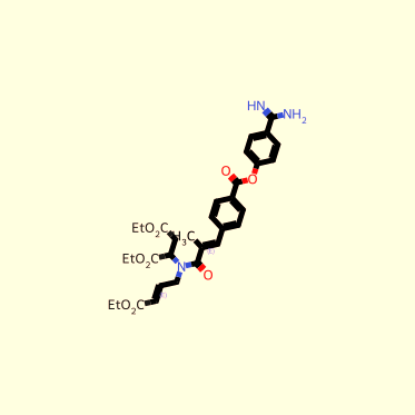 CCOC(=O)/C=C/CN(C(=O)/C(C)=C/c1ccc(C(=O)Oc2ccc(C(=N)N)cc2)cc1)C(CC(=O)OCC)C(=O)OCC